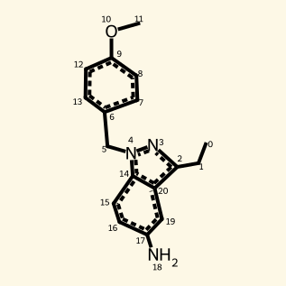 CCc1nn(Cc2ccc(OC)cc2)c2ccc(N)cc12